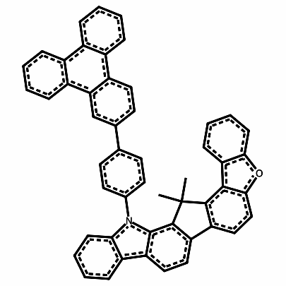 CC1(C)c2c(ccc3oc4ccccc4c23)-c2ccc3c4ccccc4n(-c4ccc(-c5ccc6c7ccccc7c7ccccc7c6c5)cc4)c3c21